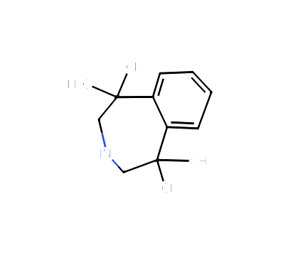 CC1(C)CNCC(C)(C)c2ccccc21